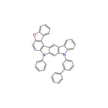 c1ccc(-c2cccc(-n3c4ccccc4c4cc5c6c7c(ccc6n(-c6ccccc6)c5cc43)oc3ccccc37)c2)cc1